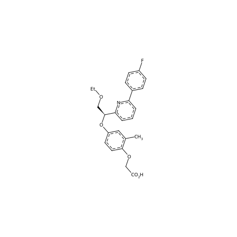 CCOC[C@H](Oc1ccc(OCC(=O)O)c(C)c1)c1cccc(-c2ccc(F)cc2)n1